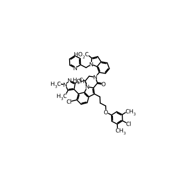 Cc1cc(OCCCc2c3n(c4c(-c5c(C)nn(C)c5C)c(Cl)ccc24)C(C)CN(c2cccc4cc(C(=O)O)n(Cc5ccccn5)c24)C3=O)cc(C)c1Cl